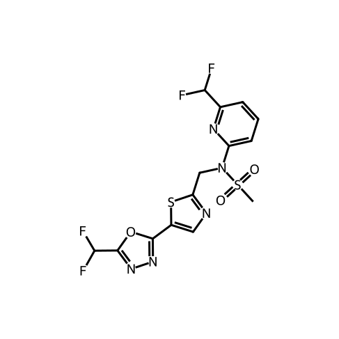 CS(=O)(=O)N(Cc1ncc(-c2nnc(C(F)F)o2)s1)c1cccc(C(F)F)n1